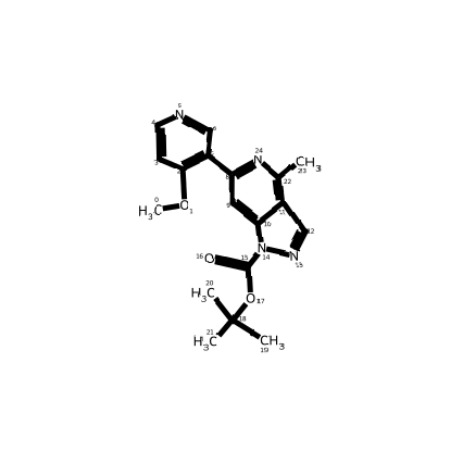 COc1ccncc1-c1cc2c(cnn2C(=O)OC(C)(C)C)c(C)n1